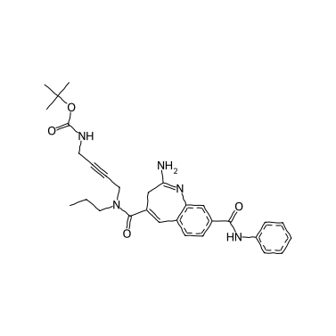 CCCN(CC#CCNC(=O)OC(C)(C)C)C(=O)C1=Cc2ccc(C(=O)Nc3ccccc3)cc2N=C(N)C1